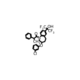 CC(C(=O)N1CC(Oc2cccc(Cl)c2)CCc2cc(C(O)(C(F)(F)F)C(F)(F)F)ccc21)c1ccccc1